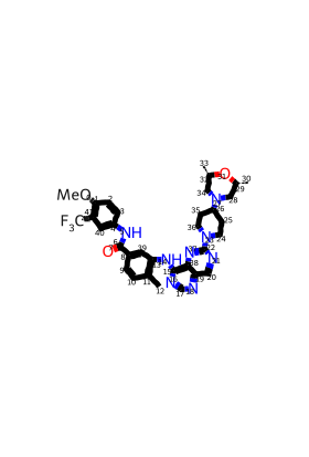 COc1ccc(NC(=O)c2ccc(C)c(Nc3ncnc4cnc(N5CCC(N6C[C@@H](C)O[C@@H](C)C6)CC5)nc34)c2)cc1C(F)(F)F